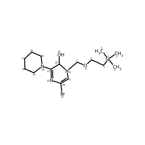 C[Si](C)(C)CCOCN1C=C(Br)N=C(N2CCCCC2)C1O